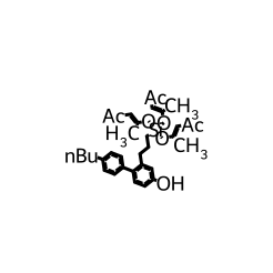 CCCCc1ccc(-c2ccc(O)cc2CCC[Si](OC(C)=CC(C)=O)(OC(C)=CC(C)=O)OC(C)=CC(C)=O)cc1